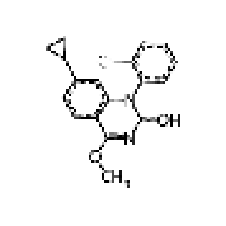 COC1=NC(O)N(c2ccccc2Cl)c2cc(C3CC3)ccc21